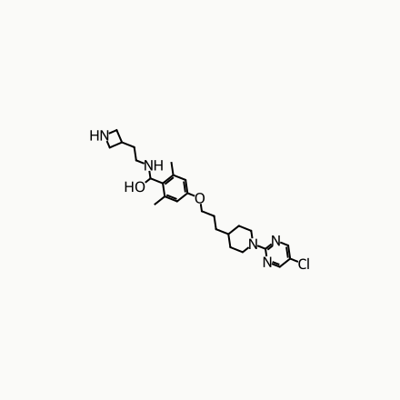 Cc1cc(OCCCC2CCN(c3ncc(Cl)cn3)CC2)cc(C)c1C(O)NCCC1CNC1